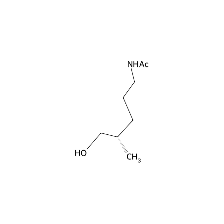 CC(=O)NCCC[C@H](C)CO